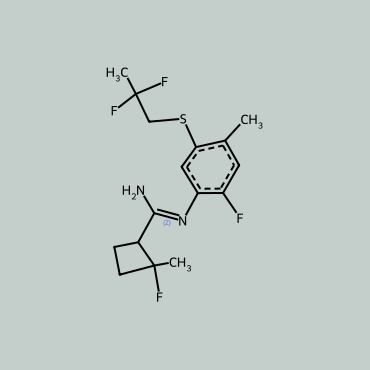 Cc1cc(F)c(/N=C(\N)C2CCC2(C)F)cc1SCC(C)(F)F